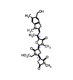 C/C(C=C1Sc2cc(CO)c(C)cc2N1C)=c1\o/c(=c2/s/c(=C3/SC(=O)N(C)C3=O)n(CC(=O)O)c2=O)n(C)c1=O